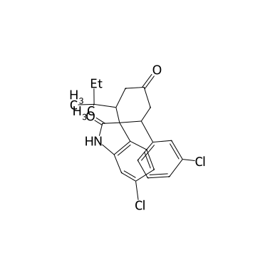 CCC(C)(C)C1CC(=O)CC(c2cccc(Cl)c2)C12C(=O)Nc1cc(Cl)ccc12